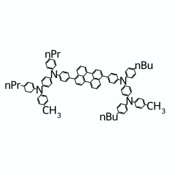 CCCCc1ccc(N(c2ccc(C)cc2)c2ccc(N(c3ccc(CCCC)cc3)c3ccc(-c4ccc5c6cccc7c(-c8ccc(N(c9ccc(CCC)cc9)c9ccc(N(C%10=CC=C(CCC)CC%10)c%10ccc(C)cc%10)cc9)cc8)ccc(c8cccc4c85)c76)cc3)cc2)cc1